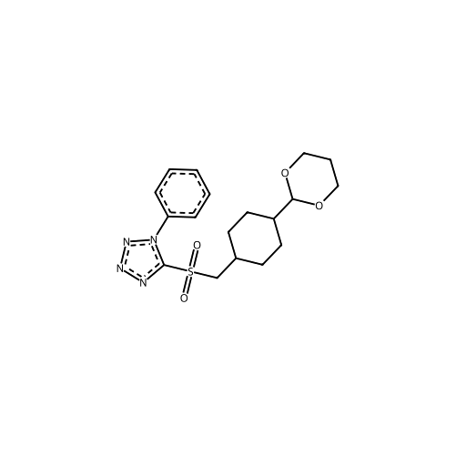 O=S(=O)(CC1CCC(C2OCCCO2)CC1)c1nnnn1-c1ccccc1